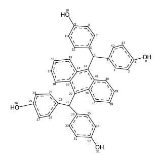 Oc1ccc(C(c2ccc(O)cc2)c2c3ccccc3c(C(c3ccc(O)cc3)c3ccc(O)cc3)c3ccccc23)cc1